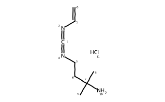 C=CN=C=NCCC(C)(C)N.Cl